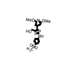 COc1cc(-c2nc(Nc3ccc(S(C)(=O)=O)cc3)sc2CO)cc(OC)n1